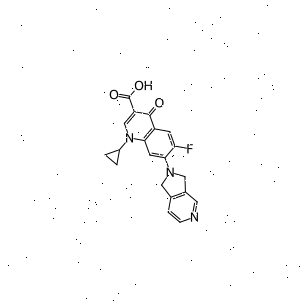 O=C(O)c1cn(C2CC2)c2cc(N3Cc4ccncc4C3)c(F)cc2c1=O